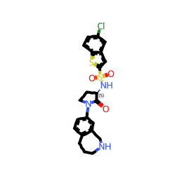 O=C1[C@@H](NS(=O)(=O)c2cc3cc(Cl)ccc3s2)CCN1c1ccc2c(c1)CNCCC2